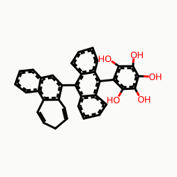 Oc1c(O)c(O)c(-c2c3ccccc3c(-c3cc4ccccc4c4c3C=CCC=C4)c3ccccc23)c(O)c1O